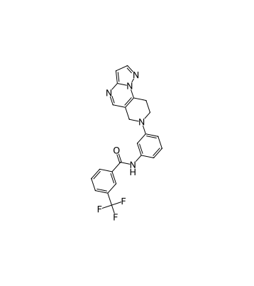 O=C(Nc1cccc(N2CCc3c(cnc4ccnn34)C2)c1)c1cccc(C(F)(F)F)c1